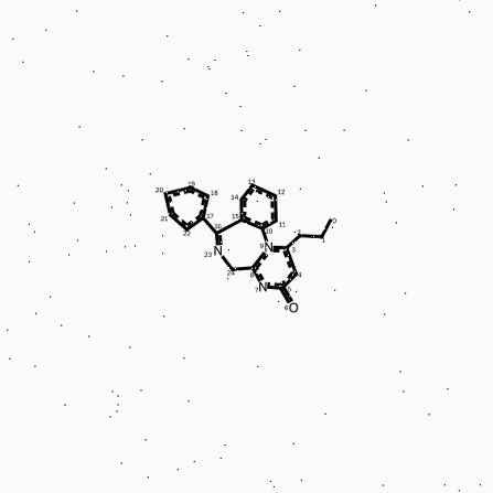 CCCc1cc(=O)nc2n1-c1ccccc1C(c1ccccc1)=NC2